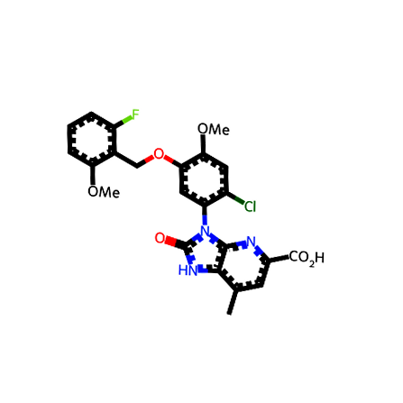 COc1cc(Cl)c(-n2c(=O)[nH]c3c(C)cc(C(=O)O)nc32)cc1OCc1c(F)cccc1OC